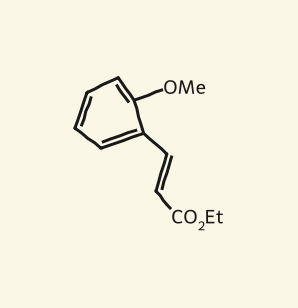 CCOC(=O)C=Cc1ccccc1OC